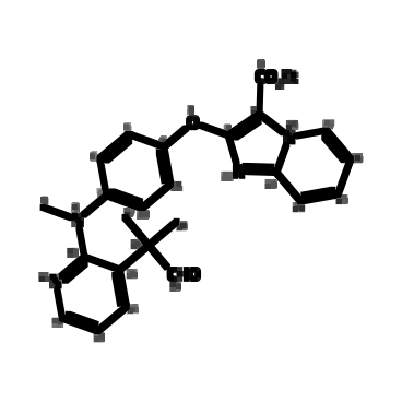 CCOC(=O)c1c(Oc2ccc(N(C)c3ncccc3C(C)(C)C=O)cc2)nc2ccccn12